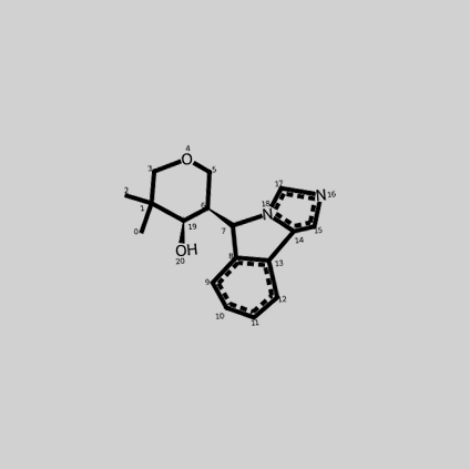 CC1(C)COC[C@@H](C2c3ccccc3-c3cncn32)[C@H]1O